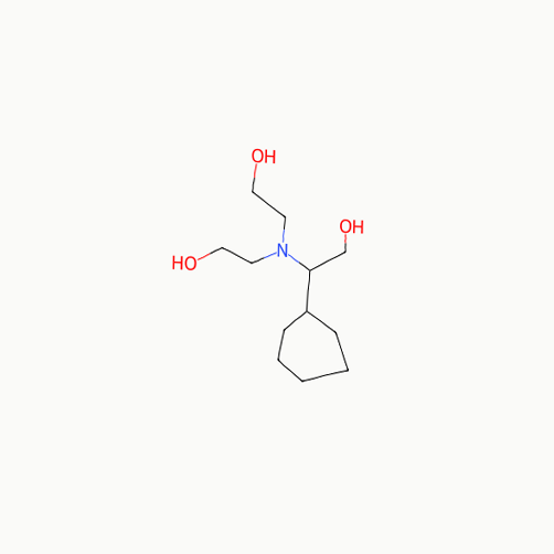 OCCN(CCO)C(CO)C1CCCCC1